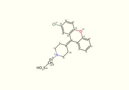 CCN1CCC(=C2c3ccccc3Oc3ccc(Cl)cc32)CC1.CS(=O)(=O)O